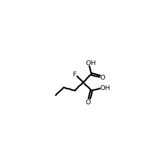 CCCC(F)(C(=O)O)C(=O)O